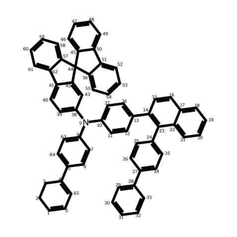 C1=CCCC(c2ccc(N(c3ccc(-c4ccc5ccccc5c4-c4ccc(-c5ccccc5)cc4)cc3)c3ccc4c(c3)C3(c5ccccc5-c5ccccc53)c3ccccc3-4)cc2)=C1